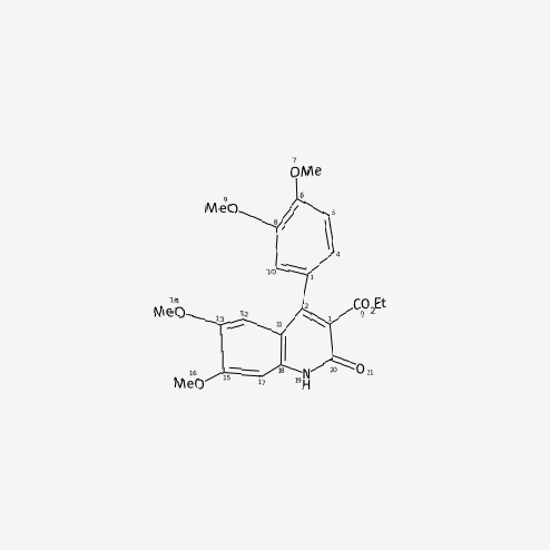 CCOC(=O)c1c(-c2ccc(OC)c(OC)c2)c2cc(OC)c(OC)cc2[nH]c1=O